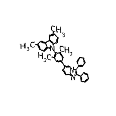 Cc1ccc2c(c1)c1cc(C)ccc1n2-c1c(C)cc(-c2ccc3nc(-c4ccccc4)c(-c4ccccc4)n3c2)cc1C